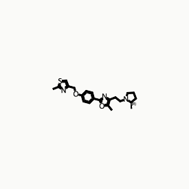 Cc1nc(COc2ccc(-c3nc(CCN4CCC[C@H]4C)c(C)o3)cc2)cs1